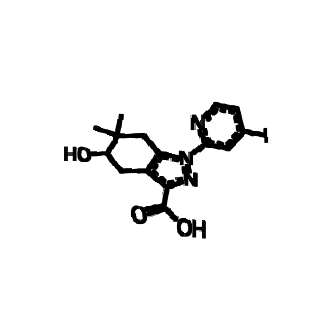 CC1(C)Cc2c(c(C(=O)O)nn2-c2cc(I)ccn2)CC1O